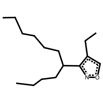 CCCCCCC(CCCC)c1nocc1CC